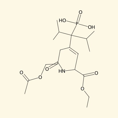 CCOC(=O)C(C=C(CCCOC(C)=O)C(C(C)C)(C(C)C)P(=O)(O)O)NC=O